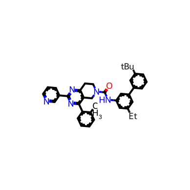 CCc1cc(NC(=O)N2CCc3nc(-c4cccnc4)nc(-c4ccccc4C)c3C2)cc(-c2cccc(C(C)(C)C)c2)c1